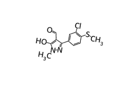 CSc1ccc(-c2nn(C)c(O)c2C=O)cc1Cl